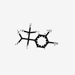 Oc1ccc(C(F)(C(F)F)C(F)(F)F)cc1Cl